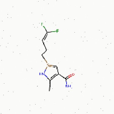 CC1=C(C(N)=O)C=S(CCC=C(F)F)N1